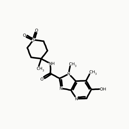 Cc1c(O)cnc2nc(C(=O)NC3(C)CCS(=O)(=O)CC3)n(C)c12